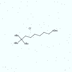 CCCCCCCCCCCCCCCC[N+](CCCC)(CCCC)CCCC.[Cl-]